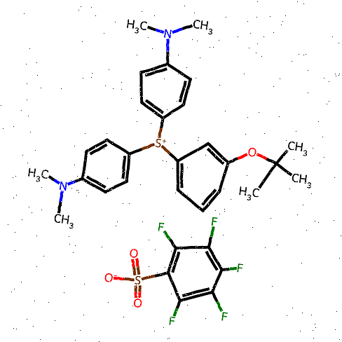 CN(C)c1ccc([S+](c2ccc(N(C)C)cc2)c2cccc(OC(C)(C)C)c2)cc1.O=S(=O)([O-])c1c(F)c(F)c(F)c(F)c1F